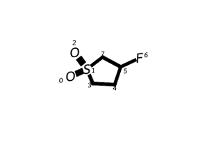 O=S1(=O)CCC(F)C1